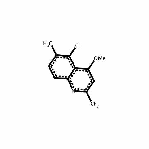 COc1cc(C(F)(F)F)nc2ccc(C)c(Cl)c12